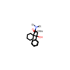 CCN(CC)CCC(O)(c1ccccc1)C1(C(=O)OC)CCCCC1